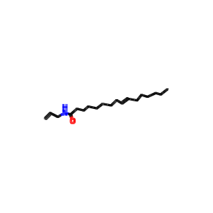 C=CCNC(=O)CCCCCCCC=CCCCCCC